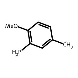 COc1ccc(C)cc1P